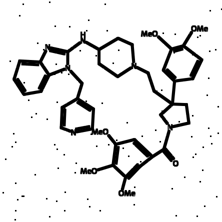 COc1ccc(C2(CCN3CCC(Nc4nc5ccccc5n4Cc4ccncc4)CC3)CCN(C(=O)c3cc(OC)c(OC)c(OC)c3)C2)cc1OC